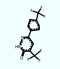 O=c1[nH]nc(-c2ccc(C(F)(F)F)cc2)cc1C(F)(F)F